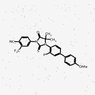 COc1ccc(-c2ccc(N3C(=S)N(c4ccc(C#N)c(C(F)(F)F)c4)C(=O)C3(C)C)c(F)c2)cc1